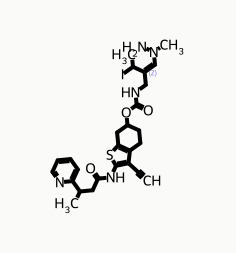 C#Cc1c(NC(=O)CC(C)c2ccccn2)sc2c1CCC(OC(=O)NC/C(=C/N(C)N)C(C)I)C2